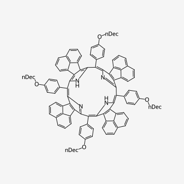 CCCCCCCCCCOc1ccc(-c2c3nc(c(-c4ccc(OCCCCCCCCCC)cc4)c4[nH]c(c(-c5ccc(OCCCCCCCCCC)cc5)c5nc(c(-c6ccc(OCCCCCCCCCC)cc6)c6[nH]c2c2c7cccc8cccc(c87)c62)c2c6cccc7cccc(c76)c52)c2c5cccc6cccc(c65)c42)c2c4cccc5cccc(c54)c32)cc1